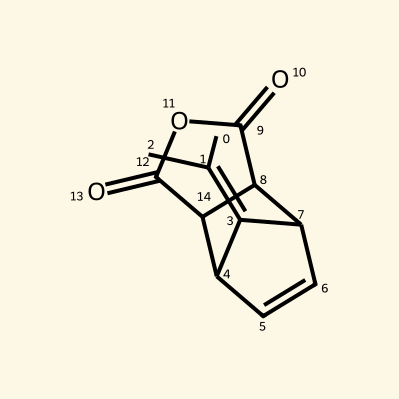 CC(C)=C1C2C=CC1C1C(=O)OC(=O)C21